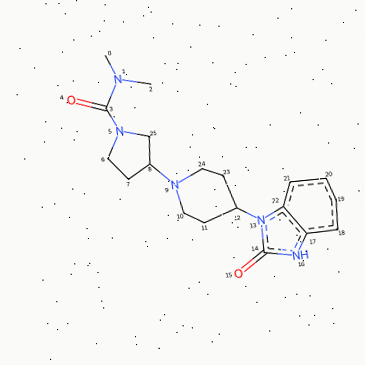 CN(C)C(=O)N1CCC(N2CCC(n3c(=O)[nH]c4ccccc43)CC2)C1